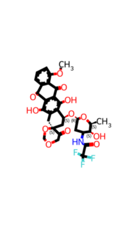 COc1cccc2c1C(=O)c1c(O)c3c(c(O)c1C2=O)C[C@@]1(C[C@@H]3O[C@H]2CC(NC(=O)C(F)(F)F)[C@H](O)[C@H](C)O2)OCOCC1=O